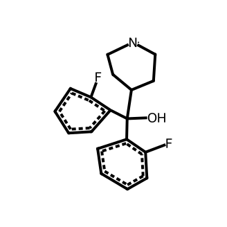 OC(c1ccccc1F)(c1ccccc1F)C1CC[N]CC1